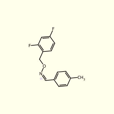 Cc1ccc(/[C]=N\OCc2ccc(F)cc2F)cc1